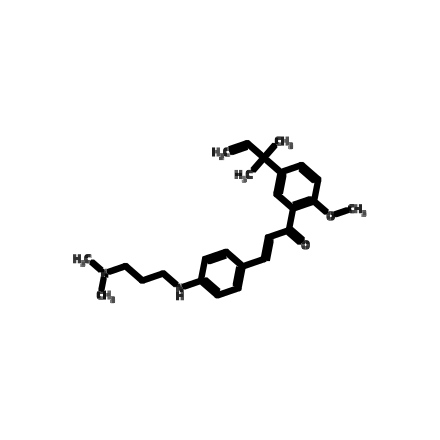 C=CC(C)(C)c1ccc(OC)c(C(=O)C=Cc2ccc(NCCCN(C)C)cc2)c1